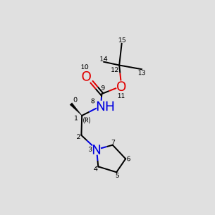 C[C@H](CN1CCCC1)NC(=O)OC(C)(C)C